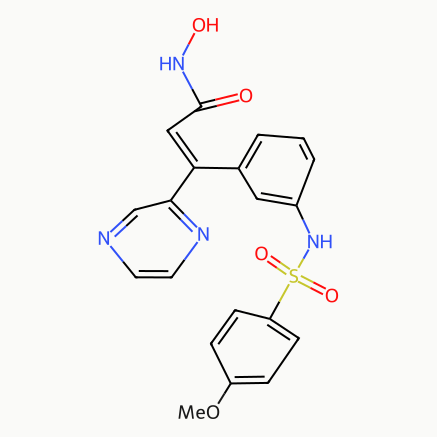 COc1ccc(S(=O)(=O)Nc2cccc(/C(=C\C(=O)NO)c3cnccn3)c2)cc1